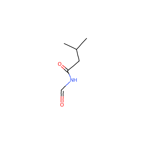 CC(C)CC(=O)NC=O